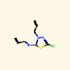 C=CCNC1SC(Cl)=NN1CC=C